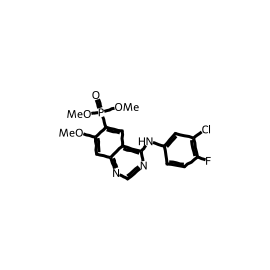 COc1cc2ncnc(Nc3ccc(F)c(Cl)c3)c2cc1P(=O)(OC)OC